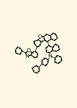 c1ccc(-c2ccc(N(c3ccccc3)c3ccc(-c4c5ccccc5cc5oc6ccc(-c7cccc8nc(-c9ccccc9)oc78)cc6c45)c4ccccc34)cc2)cc1